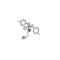 Cc1ccc(O[PH](Cl)(OCCC(C)C)Oc2ccc(C)cc2)cc1